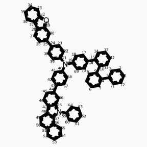 c1ccc(-c2ccccc2-c2ccccc2-c2ccc(N(c3ccc(-c4ccc5c(c4)oc4ccccc45)cc3)c3ccc(-c4ccc5c6ccc7ccccc7c6n(-c6ccccc6)c5c4)cc3)cc2)cc1